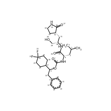 CC(C)C[C@H](NC(=O)OC(Cc1ccccc1)C1CCC(F)(F)CC1)C(=O)N[C@H](CO)C[C@@H]1CCNC1=O